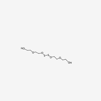 OCCOCCOSSOCCOCCO